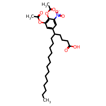 CCCCCCCCCCCCCCC(CCCC(=O)O)c1cc(OC(C)=O)c(OC(C)=O)c([N+](=O)[O-])c1